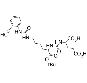 C#Cc1ccccc1NC(=O)NCCCCC(NC(=O)NC(CCC(=O)O)C(=O)O)C(=O)OC(C)(C)C